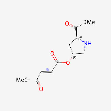 COC(=O)/C=C/C(=O)O[C@H]1CN[C@H](C(=O)OC)C1